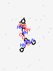 Cc1cc(C)c(S(=O)(=O)NC(CNC(=O)COC2CC(CNc3ccccn3)N(C(=O)NCc3ccccc3)C2)C(=O)O)c(C)c1